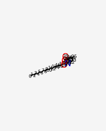 CCCCCCCCC=CCCCCCCCCOc1nc2ccc(C)cc2c(=O)o1